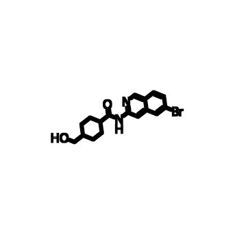 O=C(Nc1cc2cc(Br)ccc2cn1)C1CCC(CO)CC1